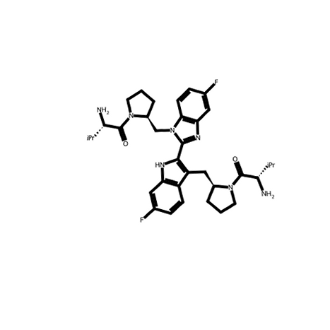 CC(C)[C@H](N)C(=O)N1CCC[C@H]1Cc1c(-c2nc3cc(F)ccc3n2C[C@@H]2CCCN2C(=O)[C@@H](N)C(C)C)[nH]c2cc(F)ccc12